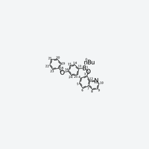 CCCCB(Oc1cccc2cccnc12)c1ccc(Oc2ccccc2)cc1